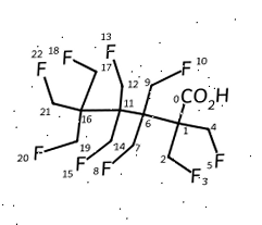 O=C(O)C(CF)(CF)C(CF)(CF)C(CF)(CF)C(CF)(CF)CF